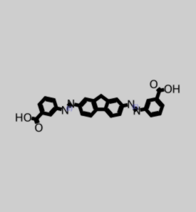 O=C(O)c1cccc(/N=N/c2ccc3c(c2)Cc2cc(/N=N/c4cccc(C(=O)O)c4)ccc2-3)c1